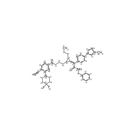 CCCC1/C(=[N+](/C(=O)NCc2ccccc2)c2ccc(-c3cnn(C)c3)cn2)C1CCCNc1ncc(C#N)c(N2CCC(F)(F)CC2)n1